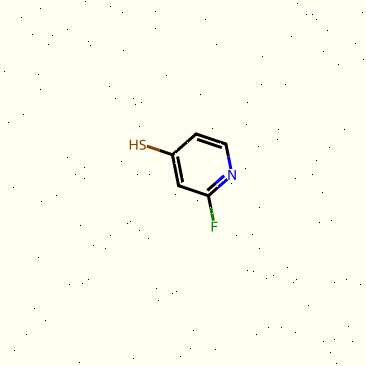 Fc1cc(S)ccn1